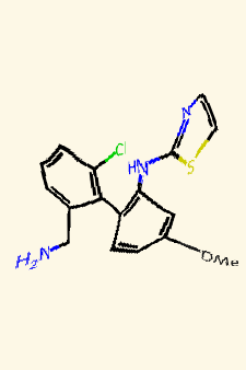 COc1ccc(-c2c(Cl)cccc2CN)c(Nc2nccs2)c1